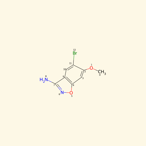 COc1cc2onc(N)c2cc1Br